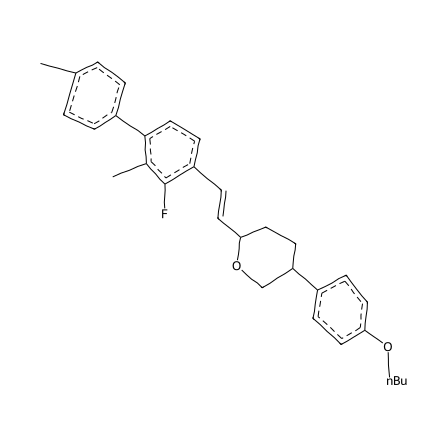 CCCCOc1ccc(C2CCC(/C=C/c3ccc(-c4ccc(C)cc4)c(C)c3F)OC2)cc1